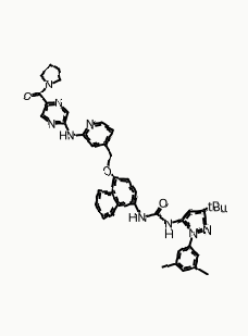 Cc1cc(C)cc(-n2nc(C(C)(C)C)cc2NC(=O)Nc2ccc(OCc3ccnc(Nc4cnc(C(=O)N5CCCC5)cn4)c3)c3ccccc23)c1